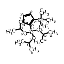 CC(C)[O][Zr]([O]C(C)C)([O]C(C)C)[C]1=[C]([Ge]([CH3])([CH3])[CH3])C=CC1